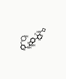 Fc1c(NC2CCC2)ncnc1-c1ccc2nc(Nc3cc(CN4CCNCC4)ccn3)[nH]c2c1